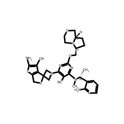 C[C@H](c1cccnc1N)N(C)c1nc(OC[C@@H]2CC[C@H]3COCCN32)nc(N2CC3(C2)SCc2sc(N)c(C#N)c23)c1C#N